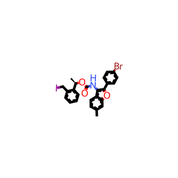 Cc1ccc2c(NC(=O)O[C@H](C)c3ccccc3CI)c(-c3ccc(Br)cc3)oc2c1